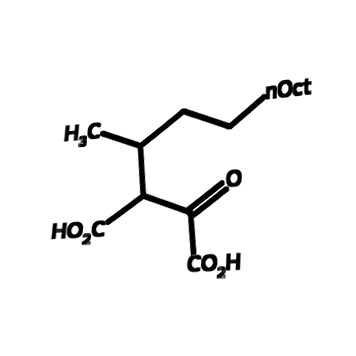 CCCCCCCCCCC(C)C(C(=O)O)C(=O)C(=O)O